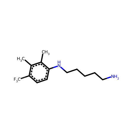 Cc1c(NCCCCCN)ccc(C(F)(F)F)c1C